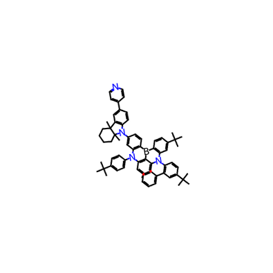 Cc1cc2c3c(c1)N(c1ccc(C(C)(C)C)cc1-c1ccccc1)c1cc(C(C)(C)C)ccc1B3c1ccc(N3c4ccc(-c5ccncc5)cc4C4(C)CCCCC34C)cc1N2c1ccc(C(C)(C)C)cc1